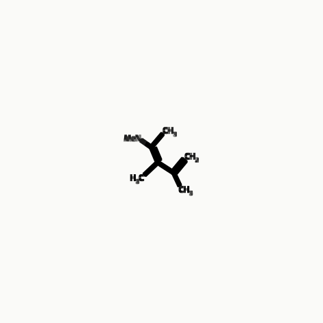 C=C(C)/C(C)=C(\C)NC